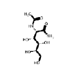 CC(=O)N[C@H](C(N)=O)[C@@H](O)[C@H](O)[C@H](O)CO